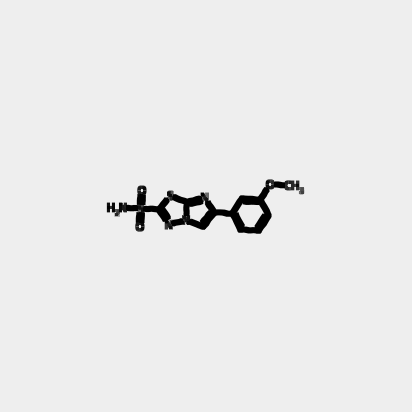 COc1cccc(-c2cn3nc(S(N)(=O)=O)sc3n2)c1